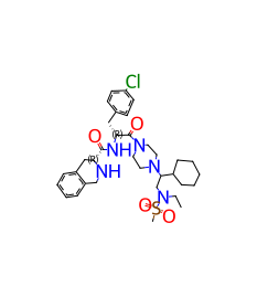 CCN(CC(C1CCCCC1)N1CCN(C(=O)[C@@H](Cc2ccc(Cl)cc2)NC(=O)[C@H]2Cc3ccccc3CN2)CC1)S(C)(=O)=O